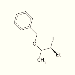 CC[C@H](I)C(C)OCc1ccccc1